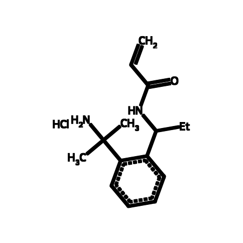 C=CC(=O)NC(CC)c1ccccc1C(C)(C)N.Cl